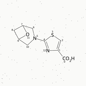 O=C(O)c1csc(N2CC3CC(C2)O3)n1